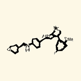 COc1ccc(F)cc1-c1ccnc2[nH]c(C3=CCC(NCC4CCOCC4)CC3)cc12